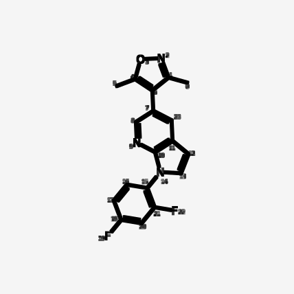 Cc1noc(C)c1-c1cnc2c(ccn2-c2ccc(F)cc2F)c1